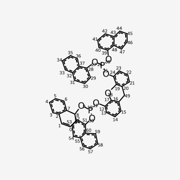 C1=Cc2ccccc2C(OP(Oc2cccc3c2Oc2c(cccc2OP(Oc2cccc4ccccc24)Oc2cccc4ccccc24)C3)Oc2cccc3ccccc23)C1